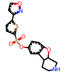 O=S(=O)(Oc1ccc2c(c1)C1CCNCC1O2)c1ccc(-c2ccon2)s1